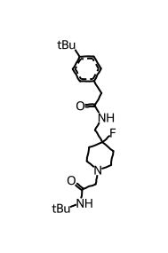 CC(C)(C)NC(=O)CN1CCC(F)(CNC(=O)Cc2ccc(C(C)(C)C)cc2)CC1